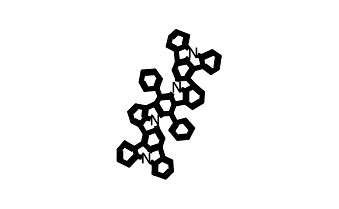 c1ccc(C2=C3C(c4cccc5c6c7c8ccccc8n8c9ccccc9c(cc6n3c45)c78)C(c3ccccc3)c3c2c2cccc4c5c6c7ccccc7n7c8ccccc8c(cc5n3c24)c67)cc1